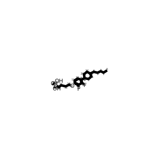 CCCCCC1CCC(c2ccc(OCCCCP(=O)(O)O)c(F)c2F)CC1